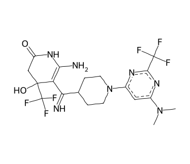 CN(C)c1cc(N2CCC(C(=N)C3=C(N)NC(=O)CC3(O)C(F)(F)F)CC2)nc(C(F)(F)F)n1